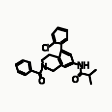 CC(C)C(=O)Nc1cc2c(c(-c3ccccc3Cl)c1)CCN(C(=O)c1ccccc1)C2